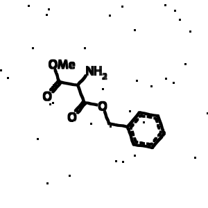 COC(=O)C(N)C(=O)OCc1ccccc1